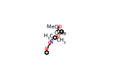 CO/C=C(/C(=O)OC)c1ccccc1COc1cc(C)c(/C=N/OCCCOc2ccccc2)cc1C